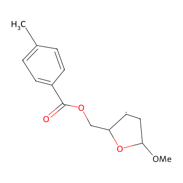 COC1C[CH]C(COC(=O)c2ccc(C)cc2)O1